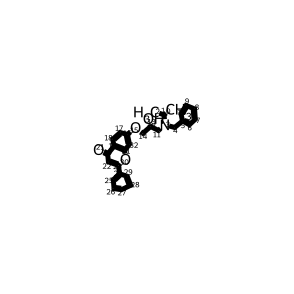 CC(C)N(Cc1ccccc1)CC(O)COc1ccc2c(=O)cc(-c3ccccc3)oc2c1